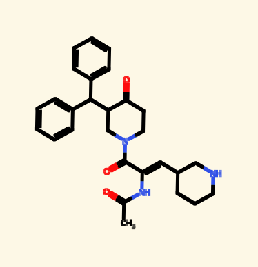 CC(=O)N/C(=C\C1CCCNC1)C(=O)N1CCC(=O)C(C(c2ccccc2)c2ccccc2)C1